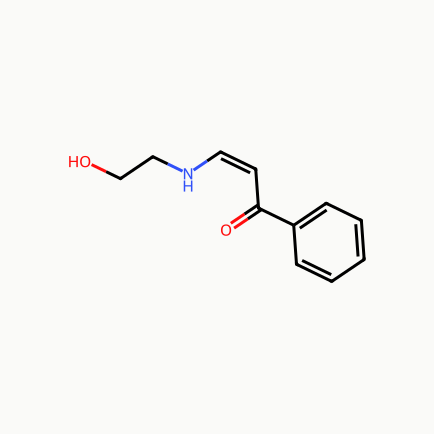 O=C(/C=C\NCCO)c1ccccc1